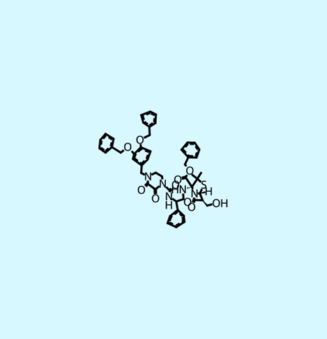 CC1(C)S[C@@H]2[C@@H](CO)C(=O)N2[C@@]1(NC(=O)C(NC(=O)N1CCN(Cc2ccc(OCc3ccccc3)c(OCc3ccccc3)c2)C(=O)C1=O)c1ccccc1)C(=O)OCc1ccccc1